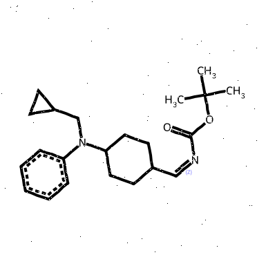 CC(C)(C)OC(=O)/N=C\C1CCC(N(CC2CC2)c2ccccc2)CC1